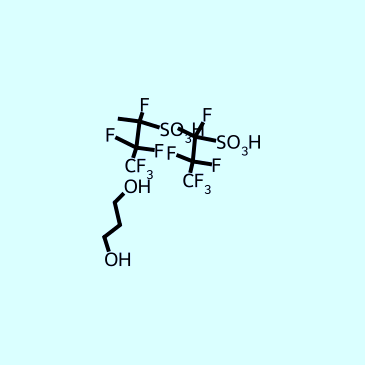 CC(F)(C(F)(F)C(F)(F)F)S(=O)(=O)O.CC(F)(C(F)(F)C(F)(F)F)S(=O)(=O)O.OCCCO